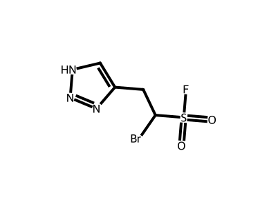 O=S(=O)(F)C(Br)Cc1c[nH]nn1